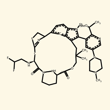 CCn1c(-c2cc(N3CCN(C)CC3)cnc2[C@H](C)OC)c2c3cc(ccc31)C1CSC(=N1)C[C@H](NCC(F)F)C(=O)N1CCC[C@H](N1)C(=O)OCC(C)(C)C2